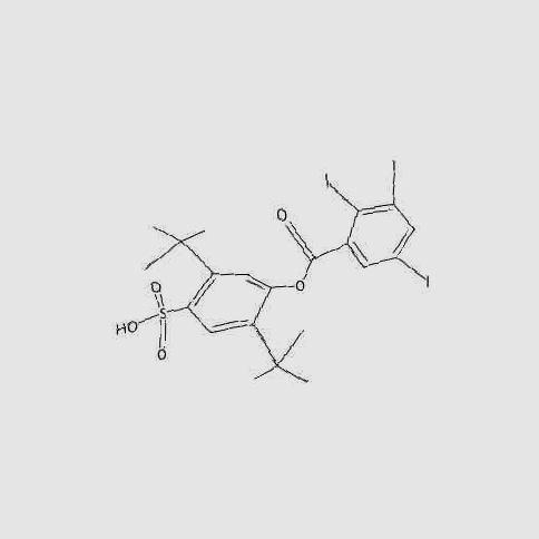 CC(C)(C)c1cc(S(=O)(=O)O)c(C(C)(C)C)cc1OC(=O)c1cc(I)cc(I)c1I